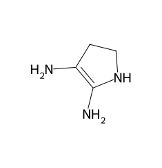 NC1=C(N)NCC1